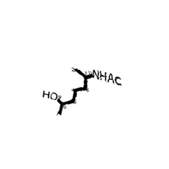 CC(=O)NC(C)CCCC(C)O